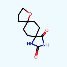 O=C1NC(=O)C2(CCC3(CCCO3)CC2)N1